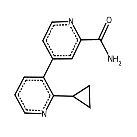 NC(=O)c1cc(-c2cccnc2C2CC2)ccn1